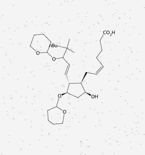 CCCCC(C)(C)C(/C=C/[C@@H]1[C@@H](C/C=C\CCCC(=O)O)[C@@H](O)C[C@H]1OC1CCCCO1)OC1CCCCO1